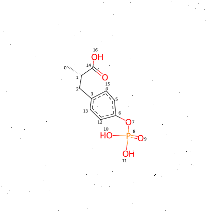 C[C@@H](Cc1ccc(OP(=O)(O)O)cc1)C(=O)O